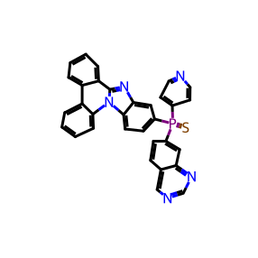 S=P(c1ccncc1)(c1ccc2cncnc2c1)c1ccc2c(c1)nc1c3ccccc3c3ccccc3n21